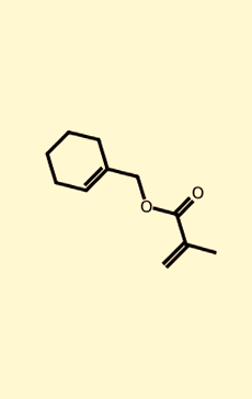 C=C(C)C(=O)OCC1=CCCCC1